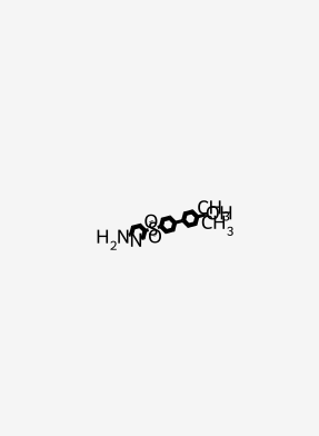 CC(C)(O)c1ccc(-c2ccc(S(=O)(=O)c3ccc(N)nc3)cc2)cc1